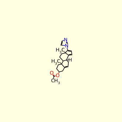 CC(=O)O[C@H]1CC[C@@]2(C)C(=CC[C@H]3C4=CC=C(n5ccnc5)[C@@]4(C)CCC32)C1